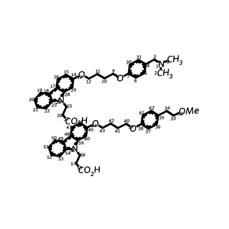 CN(C)Cc1ccc(OCCCCOc2ccc3c4ccccc4n(CCC(=O)O)c3c2)cc1.COCCc1ccc(OCCCCOc2ccc3c4ccccc4n(CCC(=O)O)c3c2)cc1